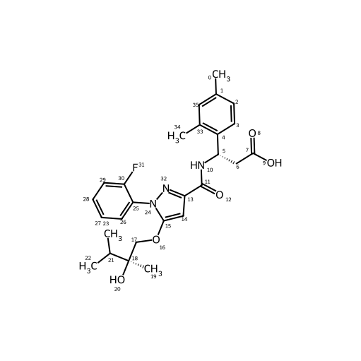 Cc1ccc([C@H](CC(=O)O)NC(=O)c2cc(OC[C@@](C)(O)C(C)C)n(-c3ccccc3F)n2)c(C)c1